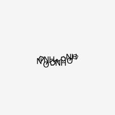 O=C(Nc1cccnc1)c1ccc2[nH]c(-c3ccc(NC(=O)C4CCCCC4)cc3)cc2c1